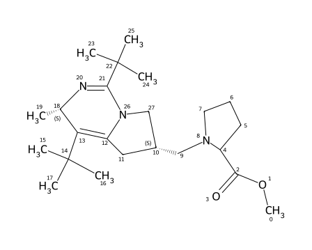 COC(=O)C1CCCN1C[C@@H]1CC2=C(C(C)(C)C)[C@H](C)N=C(C(C)(C)C)N2C1